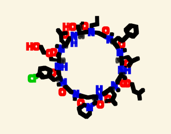 CCCN1CC(=O)N(C)[C@@H](CCc2ccccc2)C(=O)N(C)[C@@H](CC(C)C)C(=O)N[C@@H](COCCC(C)C)C(=O)N(C)[C@@H](CC(C)C)C(=O)N[C@H](C(=O)N2CCCCC2)CC(=O)N(C)CC(=O)N(C)[C@@H](Cc2cccc(Cl)c2)C(=O)N[C@@H](COCCO)C(=O)N(C)[C@@H](CC(C)C)C(=O)N[C@@H]([C@@H](C)O)C1=O